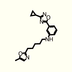 Cc1cnc(CCCCCNc2cccc(-c3nc(C4CC4)no3)c2)o1